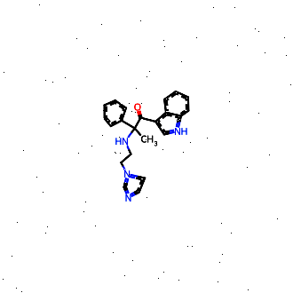 CC(NCCn1ccnc1)(C(=O)c1c[nH]c2ccccc12)c1ccccc1